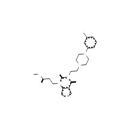 COC(=O)CCn1c(=O)n(CCN2CCN(c3cccc(Cl)c3)CC2)c(=O)c2cscc21